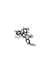 CCOc1cc(C(C)(C)C)ncc1C1=N[C@@](C)(c2ccc(Cl)cc2)[C@@](C)(c2ccc(Cl)cc2)N1C=O